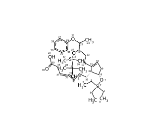 CC[Si](CC)(CC)O[C@H]1CC=C(CCC(O[Si](C)(C)C(C)(C)C)C(C)Oc2ccccc2)[C@H]1CCC=C=CCC(=O)O